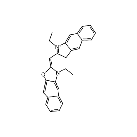 CCN1C(=CC2=[N+](CC)c3cc4ccccc4cc3C2)Oc2cc3ccccc3cc21